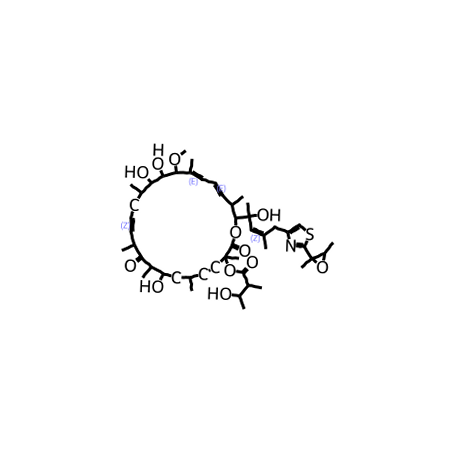 COC1/C(C)=C/C=C/C(C)C(C(C)(O)/C=C(/C)Cc2csc(C3(C)OC3C)n2)OC(=O)C(C)(OC(=O)C(C)C(C)O)CCC(C)CC(O)C(C)C(=O)C(C)/C=C\CC(C)C(O)C1O